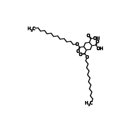 CCCCCCCCCCCCCOC(=O)C1CC(C(=O)O)C(C(=O)O)CC1C(=O)OCCCCCCCCCCCCC